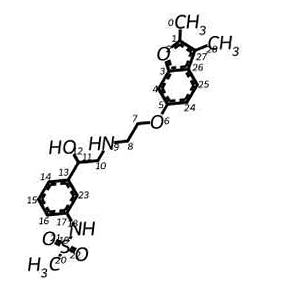 Cc1oc2cc(OCCNCC(O)c3cccc(NS(C)(=O)=O)c3)ccc2c1C